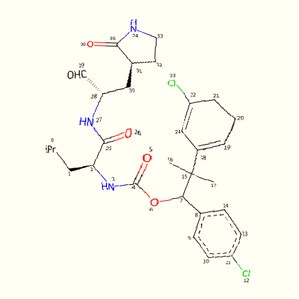 CC(C)C[C@H](NC(=O)OC(c1ccc(Cl)cc1)C(C)(C)C1=CCCC(Cl)=C1)C(=O)N[C@H](C=O)C[C@@H]1CCNC1=O